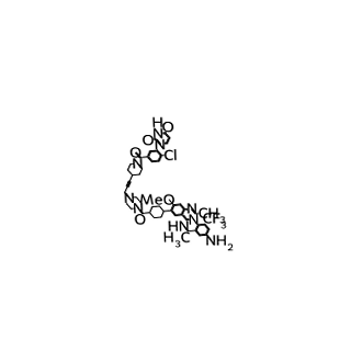 COc1cc2nc(C)nc(N[C@H](C)c3cc(N)cc(C(F)(F)F)c3)c2cc1C1CCC(C(=O)N2CCN(CC#CC3CCN(C(=O)c4ccc(Cl)c(-n5ccc(=O)[nH]c5=O)c4)CC3)CC2)CC1